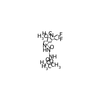 Cc1c2ccnc(C(=O)NCCNC(=O)OC(C)(C)C)c2cc2c3cc(F)c(F)cc3n(C)c12